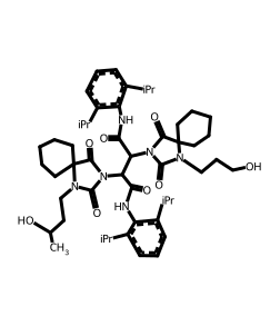 CC(O)CCN1C(=O)N(C(C(=O)Nc2c(C(C)C)cccc2C(C)C)C(C(=O)Nc2c(C(C)C)cccc2C(C)C)N2C(=O)N(CCCO)C3(CCCCC3)C2=O)C(=O)C12CCCCC2